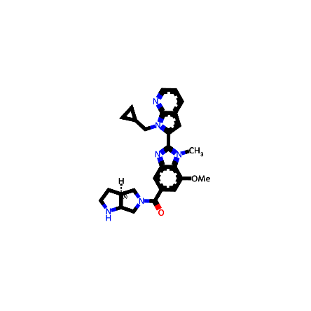 COc1cc(C(=O)N2CC3NCC[C@H]3C2)cc2nc(-c3cc4cccnc4n3CC3CC3)n(C)c12